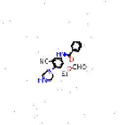 CCOC=O.N#Cc1cc(NC(=O)c2ccccc2)ccc1N1CCNCC1